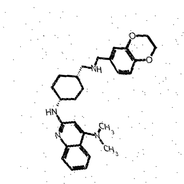 CN(C)c1cc(N[C@H]2CC[C@@H](CNCc3ccc4c(c3)OCCO4)CC2)nc2ccccc12